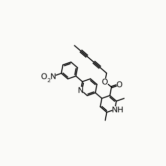 CC#CC#CCOC(=O)C1=C(C)NC(C)=CC1c1ccc(-c2cccc([N+](=O)[O-])c2)nc1